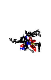 CCc1ccc2c(c1)c(-c1ccc[nH]c1=O)c(C(=O)NS(=O)(=O)C1CC1)n2CCC(C)(C)C